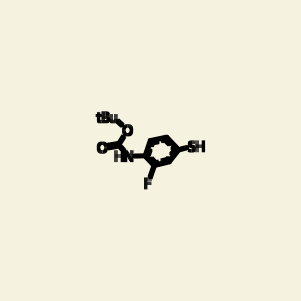 CC(C)(C)OC(=O)Nc1ccc(S)cc1F